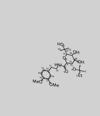 CCC(C)(C)O[C@@H]1C(C(=O)NCCc2ccc(OC)c(OC)c2)OC(C(C)(C)O)C(O)[C@H]1O